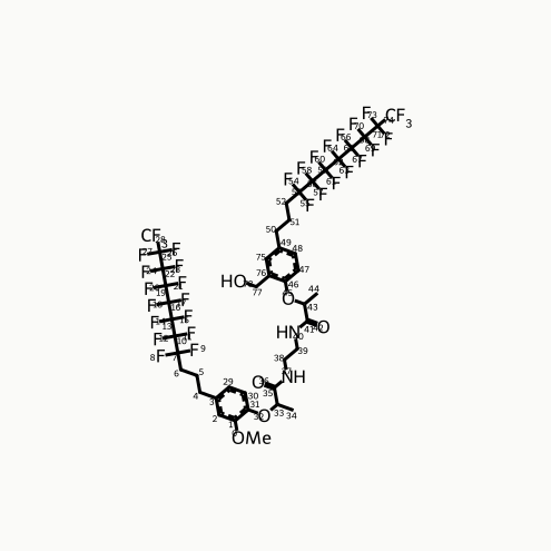 COc1cc(CCCC(F)(F)C(F)(F)C(F)(F)C(F)(F)C(F)(F)C(F)(F)C(F)(F)C(F)(F)F)ccc1OC(C)C(=O)NCCNC(=O)C(C)Oc1ccc(CCCC(F)(F)C(F)(F)C(F)(F)C(F)(F)C(F)(F)C(F)(F)C(F)(F)C(F)(F)F)cc1CO